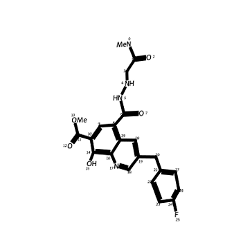 CNC(=O)CNNC(=O)c1cc(C(=O)OC)c(O)c2ncc(Cc3ccc(F)cc3)cc12